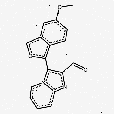 COc1ccc2c(-c3c(C=O)nc4ccccn34)occ2c1